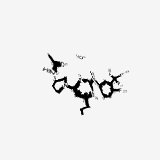 CCCc1cc(N2CC[C@H](NC(C)=O)C2)nc(Nc2ccc(F)c(C(F)(F)F)c2)n1.Cl